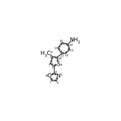 Cc1cc(-c2ncco2)sc1-c1ccc(N)cc1